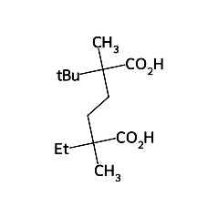 CCC(C)(CCC(C)(C(=O)O)C(C)(C)C)C(=O)O